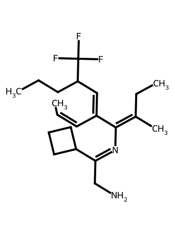 C\C=C/C(=C\C(CCC)C(F)(F)F)C(/N=C(/CN)C1CCC1)=C(/C)CC